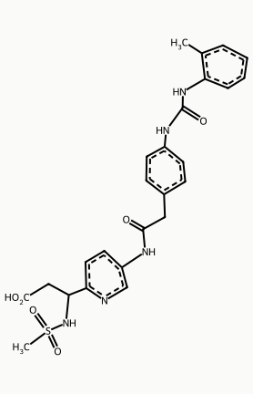 Cc1ccccc1NC(=O)Nc1ccc(CC(=O)Nc2ccc(C(CC(=O)O)NS(C)(=O)=O)nc2)cc1